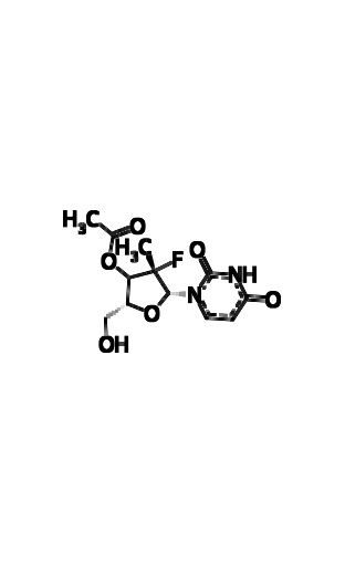 CC(=O)OC1[C@@H](CO)O[C@@H](n2ccc(=O)[nH]c2=O)[C@@]1(C)F